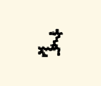 CN(CCCOc1cc(N=C=O)cc(OCCCN(C)C(=O)OC(C)(C)C)c1)C(=O)OC(C)(C)C